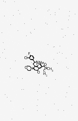 CNC(Cc1c(N2CCOCC2)cc(=O)c2cc(C(=O)N(C)C)coc1-2)c1ccc(F)c(Cl)c1